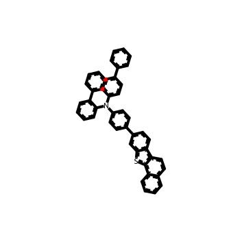 c1ccc(-c2ccc(N(c3ccc(-c4ccc5c(c4)sc4c6ccccc6ccc54)cc3)c3ccccc3-c3ccccc3)cc2)cc1